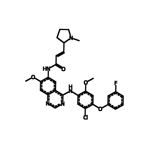 COc1cc2ncnc(Nc3cc(Cl)c(Oc4cccc(F)c4)cc3OC)c2cc1NC(=O)C=CC1CCCN1C